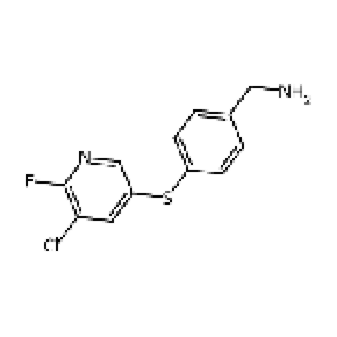 NCc1ccc(Sc2cnc(F)c(Cl)c2)cc1